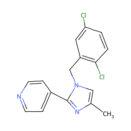 Cc1cn(Cc2cc(Cl)ccc2Cl)c(-c2ccncc2)n1